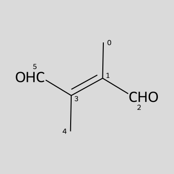 CC(C=O)=C(C)C=O